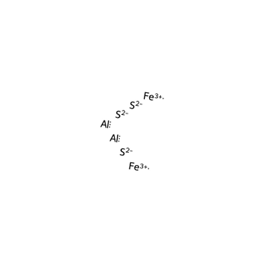 [Al].[Al].[Fe+3].[Fe+3].[S-2].[S-2].[S-2]